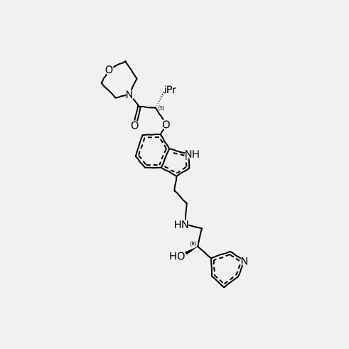 CC(C)[C@H](Oc1cccc2c(CCNC[C@H](O)c3cccnc3)c[nH]c12)C(=O)N1CCOCC1